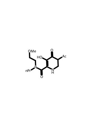 CCCN(CCOC)C(=O)C1=C(O)C(=O)C(C(C)=O)CN1